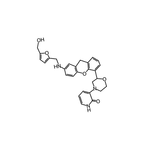 O=c1[nH]cccc1N1CCOC(c2cccc3c2Oc2ccc(NCc4ccc(CO)o4)cc2C3)C1